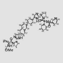 COCN[C@H](C(=O)N1CCC[C@H]1c1ncc(-c2ccc3cc(-c4ccc(-c5cnc([C@@H]6CCCN6C(=O)[C@H](NC(=O)c6cccnc6)c6ccccc6)[nH]5)cc4)ccc3c2)[nH]1)C(C)C